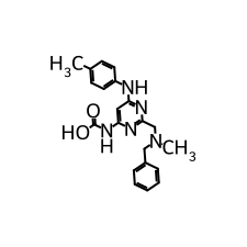 Cc1ccc(Nc2cc(NC(=O)O)nc(CN(C)Cc3ccccc3)n2)cc1